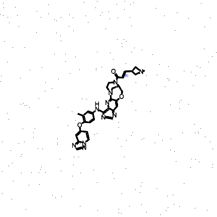 Cc1cc(Nc2ncnc3cc4c(nc23)N2CCN(C(=O)/C=C/C3CN(C)C3)C(CO4)C2)ccc1Oc1ccn2ncnc2c1